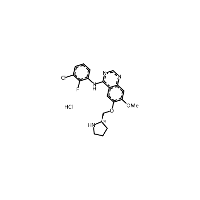 COc1cc2ncnc(Nc3cccc(Cl)c3F)c2cc1OC[C@H]1CCCN1.Cl